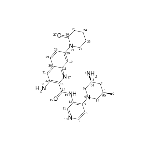 C[C@@H]1C[C@H](N)CN(c2ccncc2NC(=O)c2nc3cc(N4CCCCC4=O)ccc3cc2N)C1